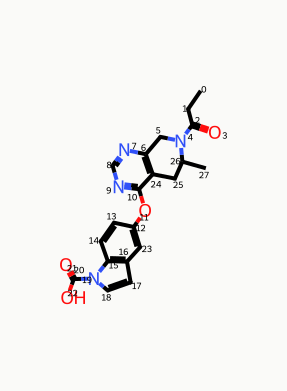 CCC(=O)N1Cc2ncnc(Oc3ccc4c(ccn4C(=O)O)c3)c2CC1C